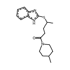 CC1CCN(C(=O)CCC(C)Sc2nc3ccccc3[nH]2)CC1